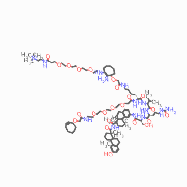 CC(C)[C@H](NC(=O)[C@@H](CCCCNC(=O)COC1CCCCC/C(NCCOCCOCCOCCOCCC(=O)NCC[N+](C)(C)C)=C\1N)NC(=O)CCOCCOCCOCCOCCNC(=O)COC1C#CCCCCC1)C(=O)N[C@@H](CCCNC(N)=O)C(=O)N[C@@H](CO)C(=O)Nc1ccc2c(c1)[C@@]1(C)CCC[C@](C)(C(=O)NC(=O)[C@@]3(C)CCC[C@]4(C)c5cc(O)ccc5CC[C@@H]34)[C@@H]1CC2